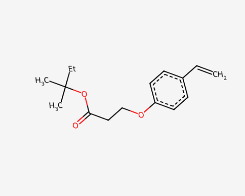 C=Cc1ccc(OCCC(=O)OC(C)(C)CC)cc1